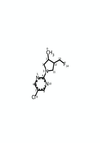 CC1CN(c2ncc(Cl)cn2)CC1CF